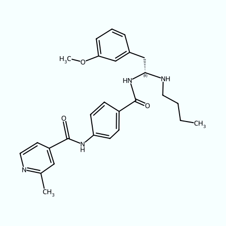 CCCCN[C@@H](Cc1cccc(OC)c1)NC(=O)c1ccc(NC(=O)c2ccnc(C)c2)cc1